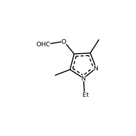 CCn1nc(C)c(OC=O)c1C